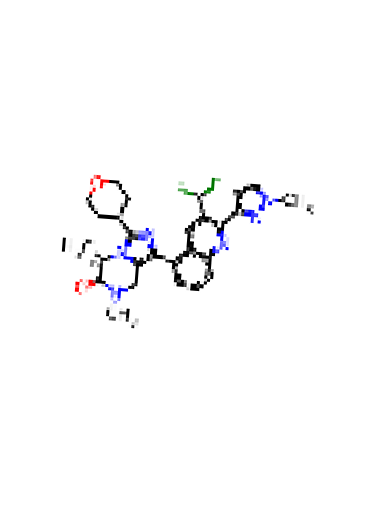 C[C@@H]1C(=O)N(C)Cc2c(-c3cccc4nc(-c5ccn(C)n5)c(C(F)F)cc34)nc(C3CCOCC3)n21